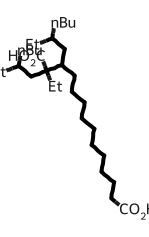 CCCCC(CC)CC(CCCCCCCCCCC(=O)O)C(CC)(CC(CC)CCCC)C(=O)O